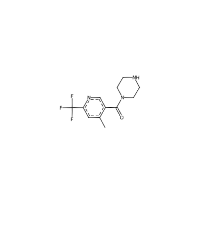 Cc1cc(C(F)(F)F)ncc1C(=O)N1CCNCC1